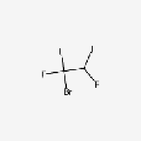 F[C](I)C(F)(F)Br